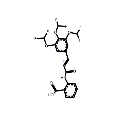 O=C(/C=C/c1cc(OC(F)F)c(OC(F)F)c(OC(F)F)c1)Nc1ccccc1C(=O)O